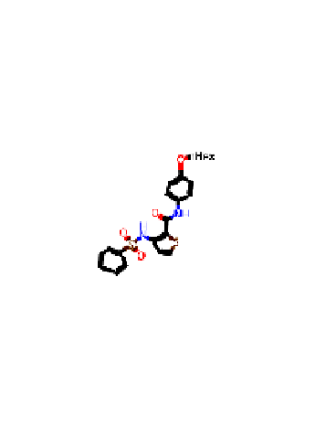 CCCCCCOc1ccc(NC(=O)c2sccc2NS(=O)(=O)c2ccccc2)cc1